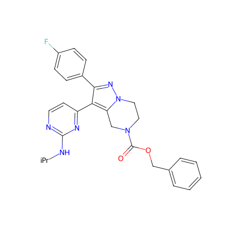 CC(C)Nc1nccc(-c2c(-c3ccc(F)cc3)nn3c2CN(C(=O)OCc2ccccc2)CC3)n1